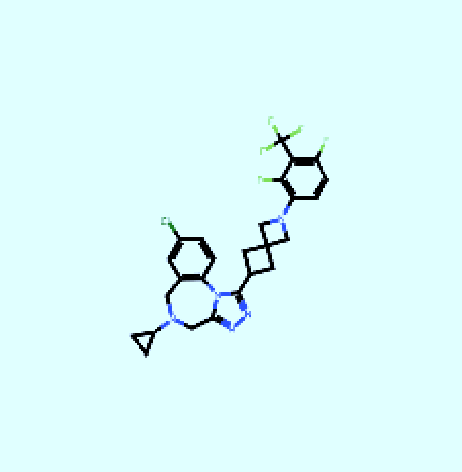 Fc1ccc(N2CC3(CC(c4nnc5n4-c4ccc(Cl)cc4CN(C4CC4)C5)C3)C2)c(F)c1C(F)(F)F